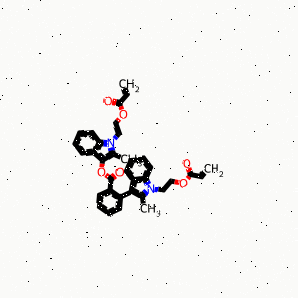 C=CC(=O)OCCn1c(C)c(OC(=O)c2ccccc2-c2c(C)n(CCOC(=O)C=C)c3ccccc23)c2ccccc21